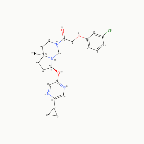 O=C(COc1cccc(Cl)c1)N1CC[C@@H]2CC[C@H](Oc3cnc(C4CC4)cn3)N2C1